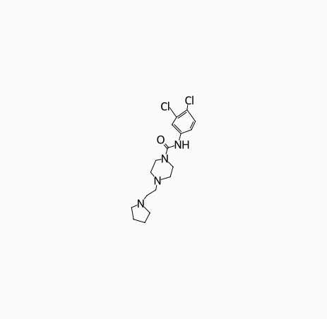 O=C(Nc1ccc(Cl)c(Cl)c1)N1CCN(CCN2CCCC2)CC1